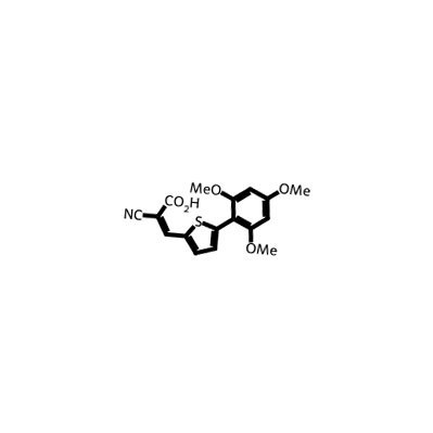 COc1cc(OC)c(-c2ccc(C=C(C#N)C(=O)O)s2)c(OC)c1